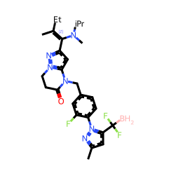 BC(F)(F)c1cc(C)nn1-c1ccc(CN2C(=O)CCn3nc(/C(=C(\C)CC)N(C)C(C)C)cc32)cc1F